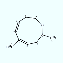 CCCC1=CCC(CCC)CCC[C]=C1